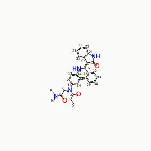 CCC(=O)N(CC(=O)N(C)C)c1ccc(NC(=C2C(=O)Nc3ccccc32)c2ccccc2)cc1